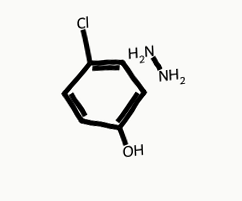 NN.Oc1ccc(Cl)cc1